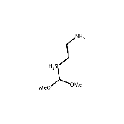 COC(OC)[SiH2]CCN